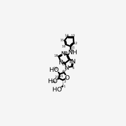 OC[C@H]1O[C@@H](n2cnc3c(Nc4ccccc4)ncnc32)C(O)C1O